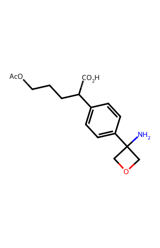 CC(=O)OCCCC(C(=O)O)c1ccc(C2(N)COC2)cc1